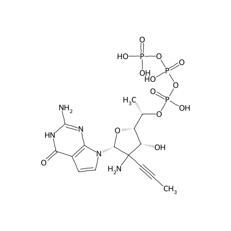 CC#CC1(N)[C@@H](O)[C@@H]([C@H](C)OP(=O)(O)OP(=O)(O)OP(=O)(O)O)O[C@H]1n1ccc2c(=O)[nH]c(N)nc21